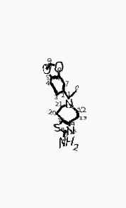 CC(c1ccc2c(c1)OCO2)N1CCc2nc(N)sc2CC1